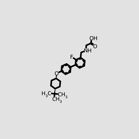 CC(C)(C)[C@H]1CC[C@@H](Oc2ccc(-c3cccc(CNCC(=O)O)c3F)cc2)CC1